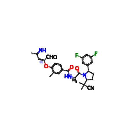 CC(=N)/C=C(\C=O)Oc1ccc(C(=O)N[C@H](C)C(=O)N2C(c3cc(F)cc(F)c3)CCC2C(C)(C)C#N)cc1C